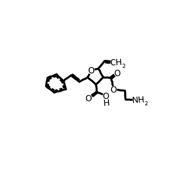 C=CC1OC(/C=C/c2ccccc2)C(C(=O)O)C1C(=O)OCCN